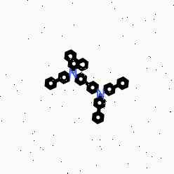 C1=c2c(N(c3ccc(-c4ccccc4)cc3)c3ccc(-c4ccc(N(c5ccc(-c6ccccc6)cc5)c5ccc(-c6ccccc6)cc5)cc4)cc3)cc3ccccc3c2=CCC1